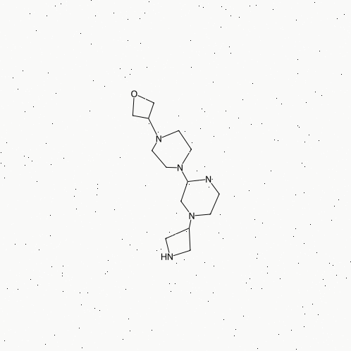 C1CN(C2CNC2)CC(N2CCN(C3COC3)CC2)[N]1